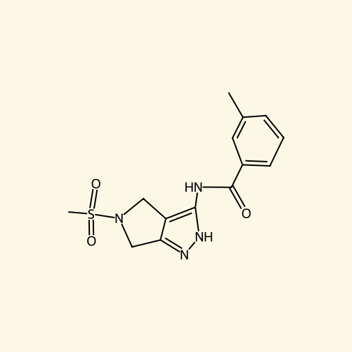 Cc1cccc(C(=O)Nc2[nH]nc3c2CN(S(C)(=O)=O)C3)c1